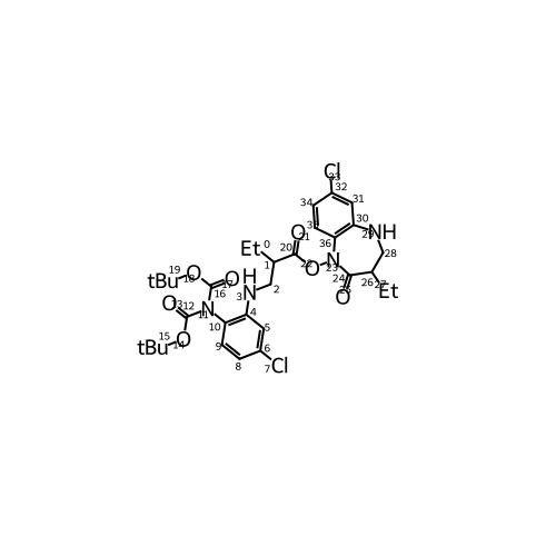 CCC(CNc1cc(Cl)ccc1N(C(=O)OC(C)(C)C)C(=O)OC(C)(C)C)C(=O)ON1C(=O)C(CC)CNc2cc(Cl)ccc21